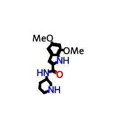 COc1cc(OC)c2[nH]c(C(=O)NC3CCCNC3)cc2c1